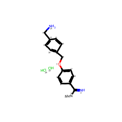 CNC(=N)c1ccc(OCc2ccc(CN)cc2)cc1.Cl.Cl